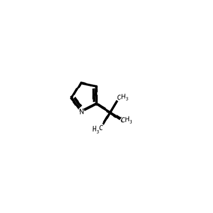 CC(C)(C)C1=CCC=N1